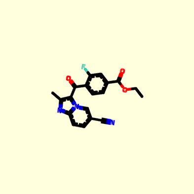 CCOC(=O)c1ccc(C(=O)c2c(C)nc3ccc(C#N)cn23)c(F)c1